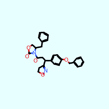 O=C(CC(C1=NOCC1)c1ccc(OCc2ccccc2)cc1)N1C(=O)OCC1Cc1ccccc1